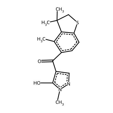 Cc1c(C(=O)c2cnn(C)c2O)ccc2c1C(C)(C)CS2